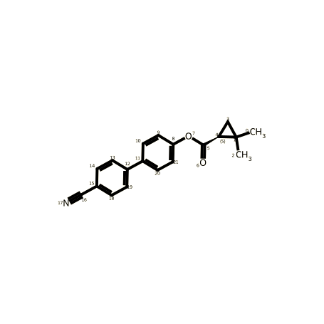 CC1(C)C[C@@H]1C(=O)Oc1ccc(-c2ccc(C#N)cc2)cc1